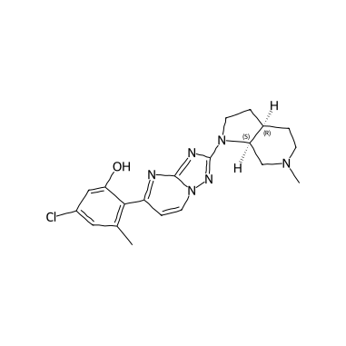 Cc1cc(Cl)cc(O)c1-c1ccn2nc(N3CC[C@H]4CCN(C)C[C@H]43)nc2n1